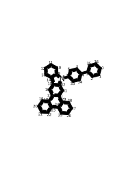 c1ccc(-c2ccc(-n3c4ccccc4c4cc5c6ccccc6c6ccccc6c5cc43)cc2)cc1